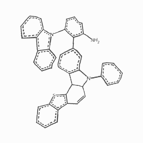 Nc1cccc(-n2c3ccccc3c3ccccc32)c1-c1ccc2c(c1)N(c1ccccc1)C1C=Cc3c(sc4ccccc34)C21